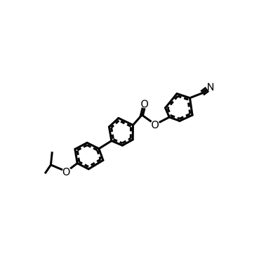 CC(C)Oc1ccc(-c2ccc(C(=O)Oc3ccc(C#N)cc3)cc2)cc1